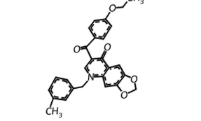 CCOc1ccc(C(=O)c2cn(Cc3cccc(C)c3)c3cc4c(cc3c2=O)OCO4)cc1